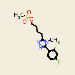 Cn1c(CCCCOS(C)(=O)=O)nnc1-c1ccc(F)cc1F